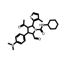 CC(=O)C1C(c2ccc(N(C)C)cc2)C(C=O)N(C(=O)NC2CCCCC2)C1c1sccc1C